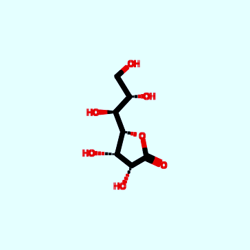 O=C1O[C@@H]([C@@H](O)[C@@H](O)CO)[C@@H](O)[C@H]1O